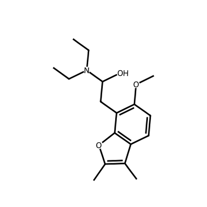 CCN(CC)C(O)Cc1c(OC)ccc2c(C)c(C)oc12